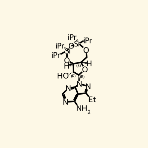 CCc1nn([C@@H]2O[C@H]3CO[Si](C(C)C)(C(C)C)O[Si](C(C)C)(C(C)C)O[C@H]3[C@H]2O)c2ncnc(N)c12